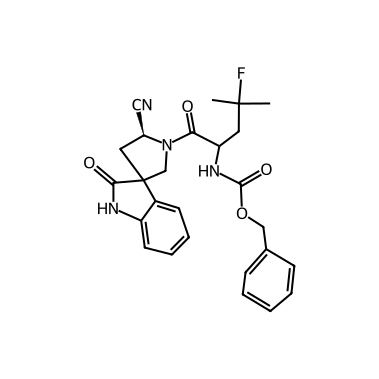 CC(C)(F)CC(NC(=O)OCc1ccccc1)C(=O)N1CC2(C[C@H]1C#N)C(=O)Nc1ccccc12